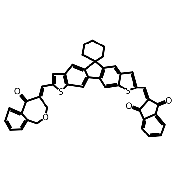 O=C1/C(=C/c2cc3cc4c(cc3s2)-c2cc3sc(C=C5C(=O)c6ccccc6C5=O)cc3cc2C42CCCCC2)COCc2ccccc21